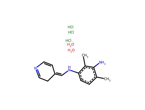 Cc1ccc(NC=C2C=CN=CC2)c(C)c1N.Cl.Cl.Cl.O.O